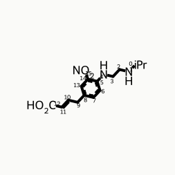 CC(C)NCCNc1ccc(CC=CC(=O)O)cc1[N+](=O)[O-]